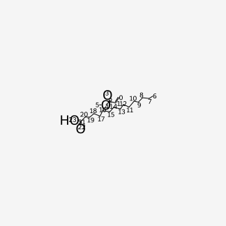 C=CC(=O)OC.CCCCCCCCCCCCCCCC(=O)O